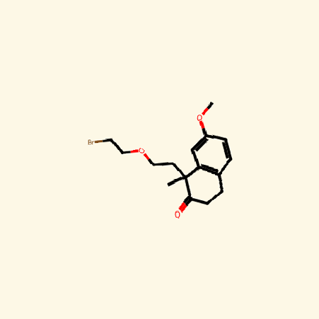 COc1ccc2c(c1)C(C)(CCOCCBr)C(=O)CC2